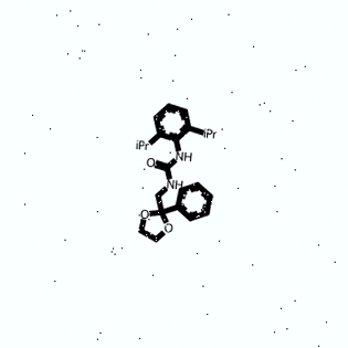 CC(C)c1cccc(C(C)C)c1NC(=O)NCC1(c2ccccc2)OCCO1